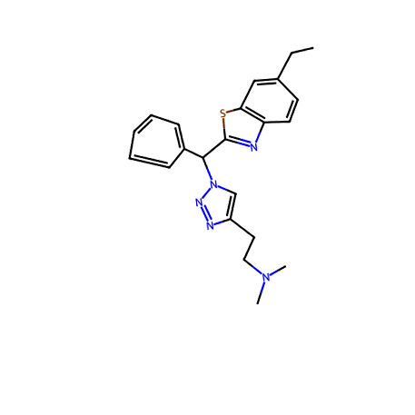 CCc1ccc2nc(C(c3ccccc3)n3cc(CCN(C)C)nn3)sc2c1